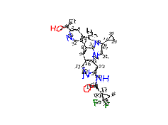 CC[C@H](O)c1cc(C)c(-c2cc3cnc(NC(=O)[C@H]4CC4(F)F)cc3n3cc(C4CC4)nc23)cn1